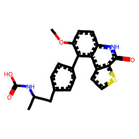 COc1ccc2[nH]c(=O)c3sccc3c2c1-c1ccc(CC(C)NC(=O)O)cc1